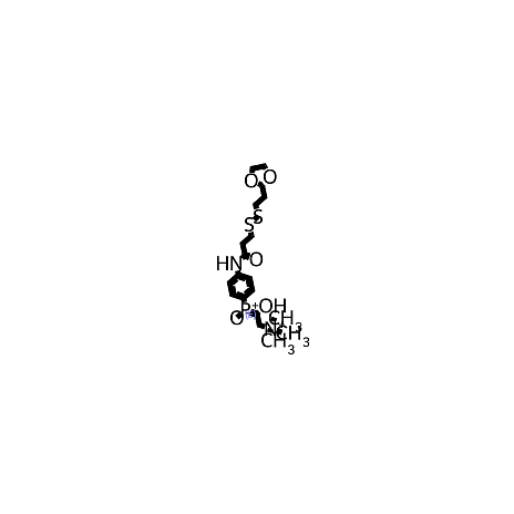 C[N+](C)(C)C/C(O)=[P+](\[O-])c1ccc(NC(=O)CCSSCCC2OCCO2)cc1